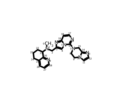 CN(Cc1cn2c(N3CCn4ccnc4C3)nccc2n1)C1CCCc2cccnc21